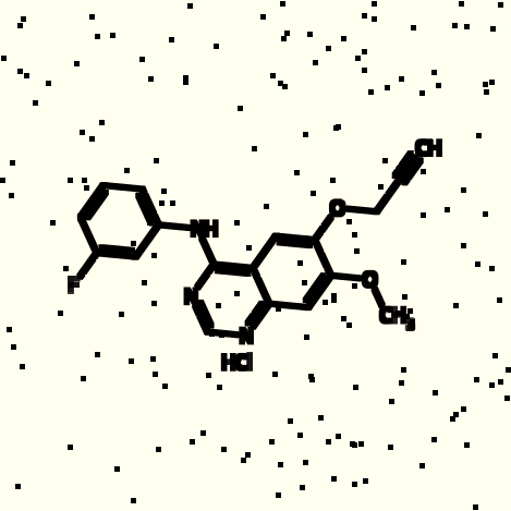 C#CCOc1cc2c(Nc3cccc(F)c3)ncnc2cc1OC.Cl